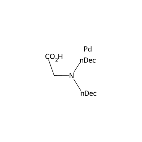 CCCCCCCCCCN(CCCCCCCCCC)CC(=O)O.[Pd]